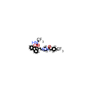 O=C(NCC(F)(F)F)OC1(CCCCN2CCN(C(=O)Cc3ccc(C(F)(F)F)cc3)CC2)c2ccccc2-c2ccccc21